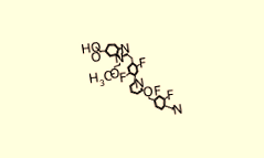 COCCn1c(Cc2cc(F)c(-c3cccc(OCc4ccc(C#N)c(F)c4F)n3)cc2F)nc2ccc(C(=O)O)cc21